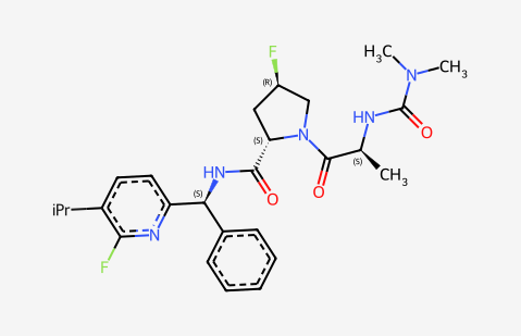 CC(C)c1ccc([C@@H](NC(=O)[C@@H]2C[C@@H](F)CN2C(=O)[C@H](C)NC(=O)N(C)C)c2ccccc2)nc1F